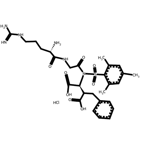 Cc1cc(C)c(S(=O)(=O)N(C(=O)CNC(=O)[C@@H](N)CCCNC(=N)N)[C@H](C(=O)O)C(Cc2ccccc2)C(=O)O)c(C)c1.Cl